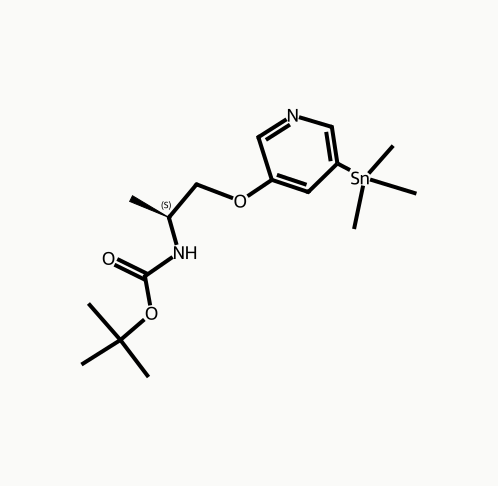 C[C@@H](COc1cnc[c]([Sn]([CH3])([CH3])[CH3])c1)NC(=O)OC(C)(C)C